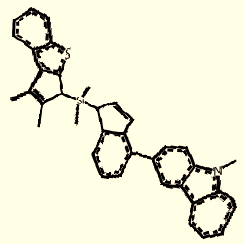 CC1=C(C)C([Si](C)(C)C2C=Cc3c(-c4ccc5c(c4)c4ccccc4n5C)cccc32)c2sc3ccccc3c21